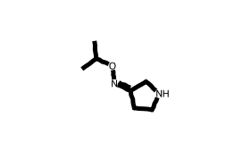 CC(C)O/N=C1/CCNC1